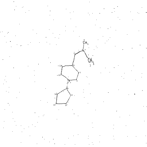 CN(C)CC1CCN(C2CCCC2)CC1